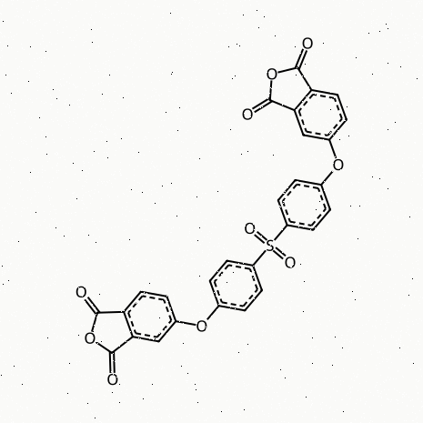 O=C1OC(=O)c2cc(Oc3ccc(S(=O)(=O)c4ccc(Oc5ccc6c(c5)C(=O)OC6=O)cc4)cc3)ccc21